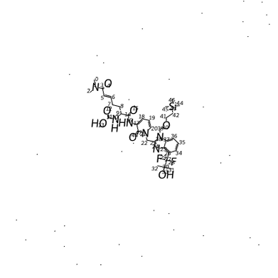 CN(C)C(=O)C=CCCC(NC(=O)O)C(=O)Nc1cccn(Cc2nc3c(C(F)(F)C(C)(C)O)cccc3n2COCC[Si](C)(C)C)c1=O